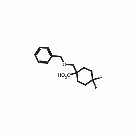 O=C(O)C1(COCc2ccccc2)CCC(F)(F)CC1